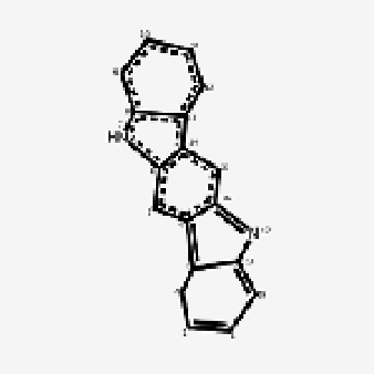 C1=CCC2=c3cc4[nH]c5ccccc5c4cc3=NC2=C1